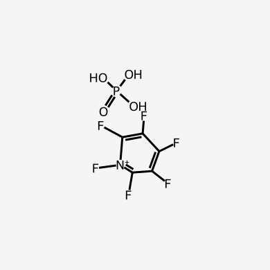 Fc1c(F)c(F)[n+](F)c(F)c1F.O=P(O)(O)O